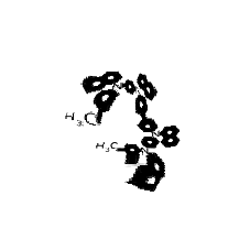 CCc1ccc(N(c2ccc(N(c3ccc(-c4ccc(N(c5ccc(N(c6ccc(CC)cc6)c6cccc7ccccc67)cc5)c5cccc6ccccc56)cc4)cc3)c3cccc4ccccc34)cc2)c2cccc3ccccc23)cc1